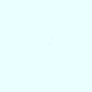 Cc1cc2oc(=O)n(C)c2cc1S(=O)(=O)N1CCN(C(=O)Cc2ccc(C(F)(F)F)cc2)CC1